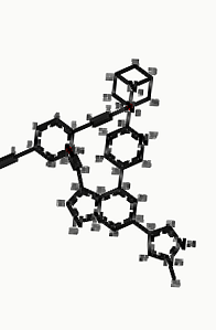 C#Cc1ccc(C#CCN2C3CC2CN(c2ccc(-c4cc(-c5cnn(C)c5)cn5ncc(C#N)c45)cn2)C3)nc1